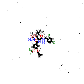 CC(C)(C)C[C@H](OC(N)=O)c1oc(-c2ccc(OC(F)F)c(OCC3CC3)c2)nc1C(=O)NCc1ccc(Cl)cc1F